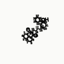 O=C1c2cccc3cccc(c23)C(=O)N1CCCCN1CCCC(O)(c2ccccc2)C1